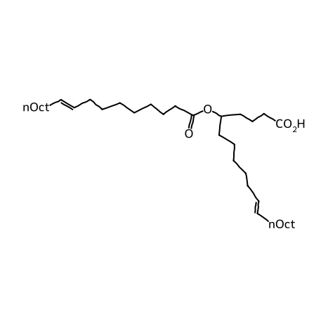 CCCCCCCC/C=C/CCCCCCCC(=O)OC(CCCCC/C=C/CCCCCCCC)CCCC(=O)O